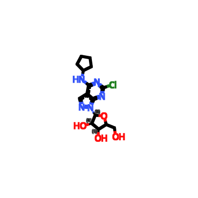 OCC1O[C@@H](n2ncc3c(NC4CCCC4)nc(Cl)nc32)[C@H](O)[C@@H]1O